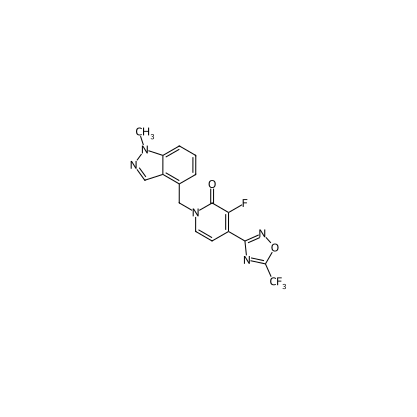 Cn1ncc2c(Cn3ccc(-c4noc(C(F)(F)F)n4)c(F)c3=O)cccc21